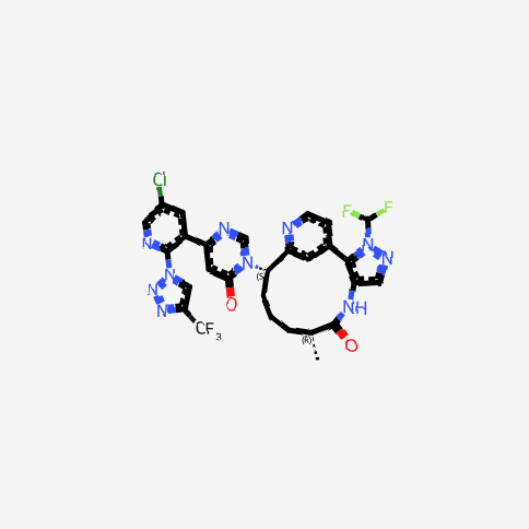 C[C@@H]1CCC[C@H](n2cnc(-c3cc(Cl)cnc3-n3cc(C(F)(F)F)nn3)cc2=O)c2cc(ccn2)-c2c(cnn2C(F)F)NC1=O